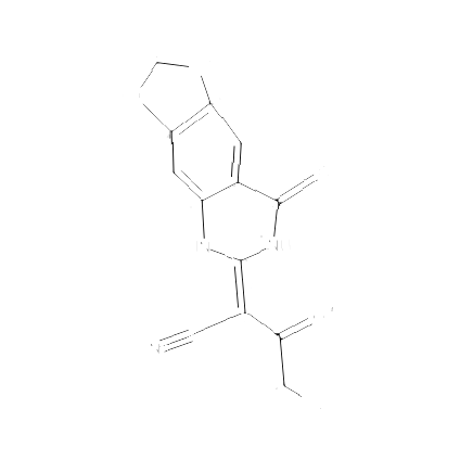 N#C/C(C(=O)CCl)=C1/NC(=O)c2cc3c(cc2N1)OCO3